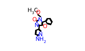 COCCn1c(=O)nc(-c2ccc(N)nc2)c2oc3ccccc3c21